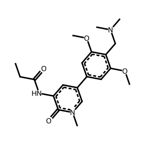 CCC(=O)Nc1cc(-c2cc(OC)c(CN(C)C)c(OC)c2)cn(C)c1=O